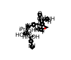 Cc1c(F)cc2[nH]ncc2c1-c1c(C2CC2)cc2c(N3C[C@@H]4C[C@H]3CN4)nc(OC3CCOCC3)nc2c1OCc1ccc(-c2cn([C@H](C(=O)N3C[C@H](O)C[C@H]3C(=O)N[C@@H](CO)c3ccc(-c4ncccn4)cc3)C(C)C)nn2)cc1